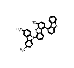 Cc1ccc2c(c1)c1cc(C)ccc1n2-c1cccc2c1oc1c(C#N)ccc(-c3cccc4sc5ccccc5c34)c12